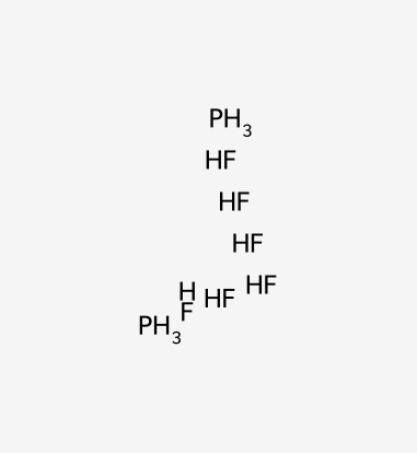 F.F.F.F.F.F.P.P